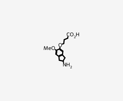 COc1cc2c(cc1OCCCC(=O)O)CC(N)C2